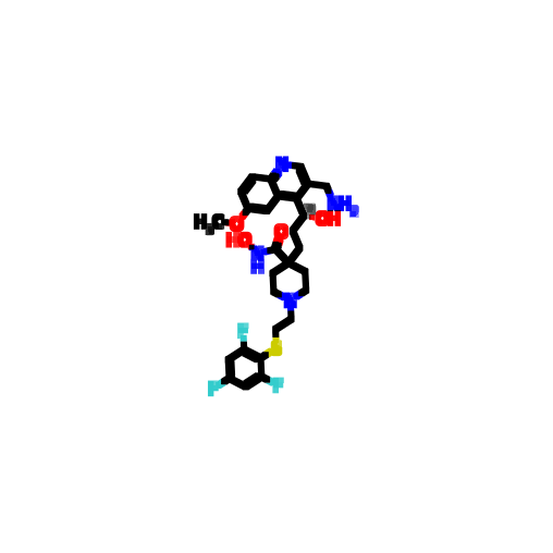 COc1ccc2ncc(CN)c([C@H](O)CCC3(C(=O)NO)CCN(CCSc4c(F)cc(F)cc4F)CC3)c2c1